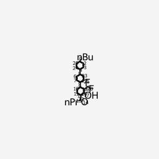 CCCCc1ccc(-c2ccc(-c3ccc(C(=O)CCC)c(O)c3C(F)F)cc2)cc1